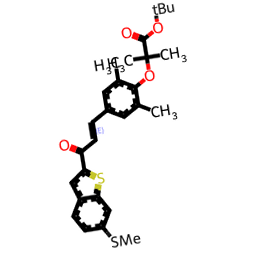 CSc1ccc2cc(C(=O)/C=C/c3cc(C)c(OC(C)(C)C(=O)OC(C)(C)C)c(C)c3)sc2c1